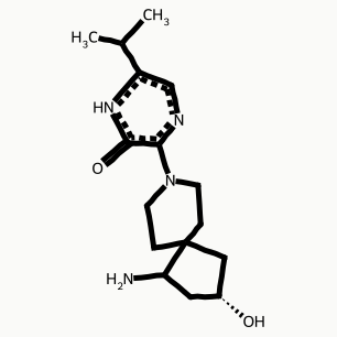 CC(C)c1cnc(N2CCC3(CC2)C[C@H](O)CC3N)c(=O)[nH]1